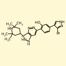 CC1(C)CC(N2NNc3cc(-c4ccc(-c5c[nH]nc5Br)cc4O)nnc32)CC(C)(C)N1